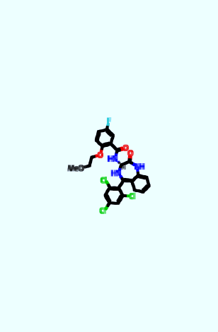 COCCOc1ccc(F)cc1C(=O)N[C@H]1NC(c2c(Cl)cc(Cl)cc2Cl)=C2CC=CC=C2NC1=O